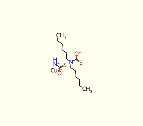 CCCCCCN(CCCCCC)C([O-])=S.NC([O-])=S.[Cu+2]